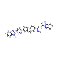 C=N/C(=C\C=C(/C)c1nc2ccccc2n1C)c1ccc2c(c1)C(C)(C)c1cc(-c3ccc(-c4nc5ccccc5n4C)cn3)ccc1-2